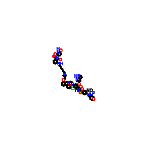 O=C1CCC(N2C(=O)c3cccc(NCCCCCCN4CC(COc5cccc(-c6ccc(Cl)cc6)c5CN5CCN(c6ccc(C(=O)NS(=O)(=O)c7ccc(NCC8CCOCC8)c([N+](=O)[O-])c7)c(Oc7cnc8[nH]ccc8c7)c6)CC5)C4)c3C2=O)C(=O)N1